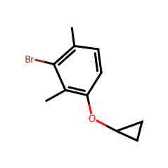 Cc1ccc(OC2CC2)c(C)c1Br